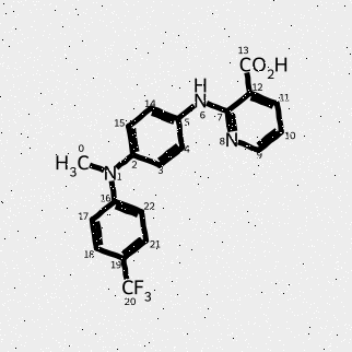 CN(c1ccc(Nc2ncccc2C(=O)O)cc1)c1ccc(C(F)(F)F)cc1